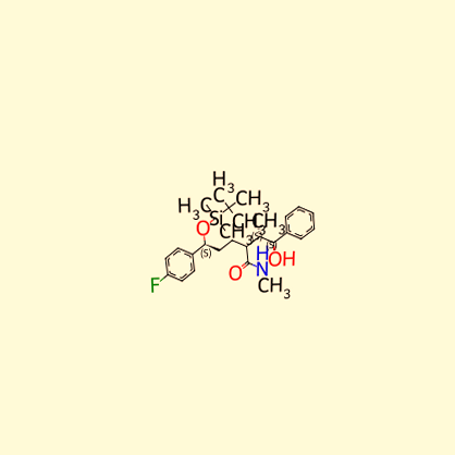 CNC(=O)C(CC[C@H](O[Si](C)(C)C(C)(C)C)c1ccc(F)cc1)[C@H](C)[C@H](O)c1ccccc1